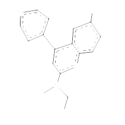 CCCCCCc1ccc2nc(N(C)CC(=O)O)cc(-c3ccncc3)c2c1